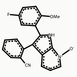 COc1ccc(F)cc1-c1[nH]c2c(ccc[n+]2[O-])c1-c1ccccc1C#N